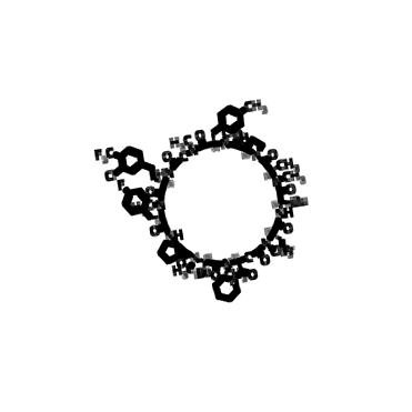 CC[C@H](C)[C@@H]1NC(=O)[C@H](CC(C)C)N(C)C(=O)C[C@@H](C(=O)N2CCCCC2)N(C)C(=O)[C@H]([C@@H](C)CC)N(C)C(=O)C2(CCCC2)NC(=O)[C@H](Cc2ccc(F)cc2)N(C)C(=O)[C@H](CCc2ccc(C(F)(F)F)c(Cl)c2)NC(=O)CN(C)C(=O)[C@H](Cc2ccc(C)cc2)N(C)C(=O)[C@@H]2CCN2C(=O)[C@H](C)N(C)C1=O